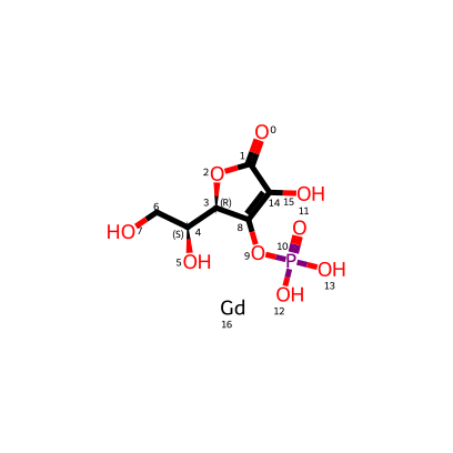 O=C1O[C@H]([C@@H](O)CO)C(OP(=O)(O)O)=C1O.[Gd]